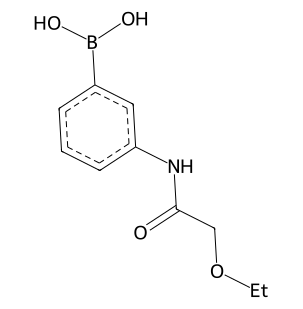 CCOCC(=O)Nc1cccc(B(O)O)c1